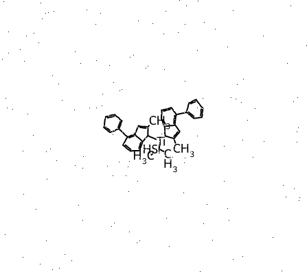 CC1=Cc2c(-c3ccccc3)cccc2[CH]1[Ti]([CH]1C(C)=Cc2c(-c3ccccc3)cccc21)[SiH](C)C